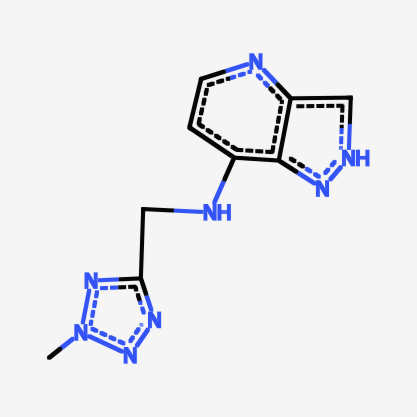 Cn1nnc(CNc2ccnc3c[nH]nc23)n1